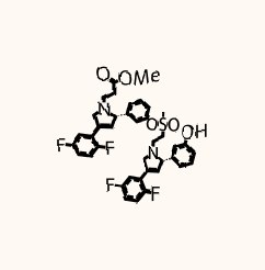 COC(=O)CCN1CC(c2cc(F)ccc2F)=C[C@H]1c1ccccc1.CS(=O)(=O)CCN1CC(c2cc(F)ccc2F)=C[C@H]1c1cccc(O)c1